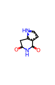 O=C1Cc2[nH]ccc2C(=O)N1